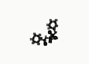 O=C(CNS(=O)(=O)Cc1ccccc1)c1ccccc1